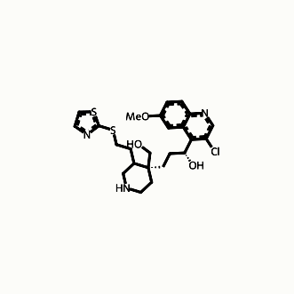 COc1ccc2ncc(Cl)c([C@H](O)CC[C@]3(CO)CCNCC3CCSc3nccs3)c2c1